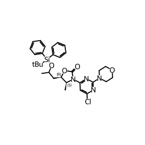 CC(C[C@H]1OC(=O)N(c2cc(Cl)nc(N3CCOCC3)n2)[C@H]1C)O[Si](c1ccccc1)(c1ccccc1)C(C)(C)C